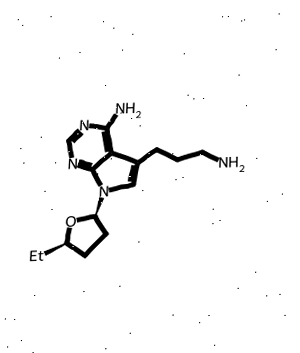 CC[C@@H]1CC[C@H](n2cc(CCCN)c3c(N)ncnc32)O1